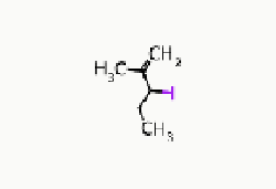 C=C(C)C(I)CC